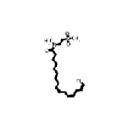 CC/C=C\C/C=C\C/C=C\CCCCCCCC(=O)N(C)CCS(C)(=O)=O